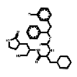 O=C(NC(CC1CCCCC1)C(=O)NC(CO)CC1CCNC1=O)OC(Cc1cccc(Cl)c1)c1ccccc1